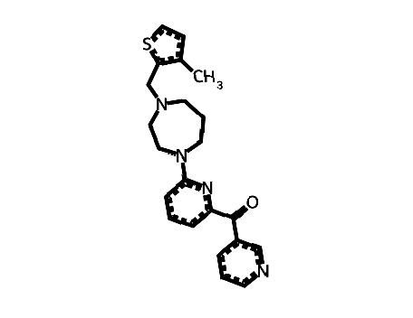 Cc1ccsc1CN1CCCN(c2cccc(C(=O)c3cccnc3)n2)CC1